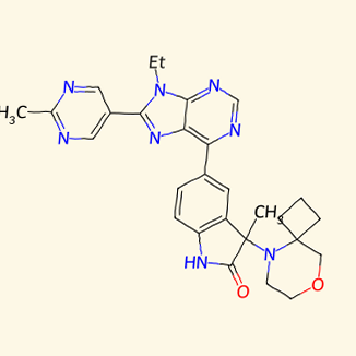 CCn1c(-c2cnc(C)nc2)nc2c(-c3ccc4c(c3)C(C)(N3CCOCC35CCC5)C(=O)N4)ncnc21